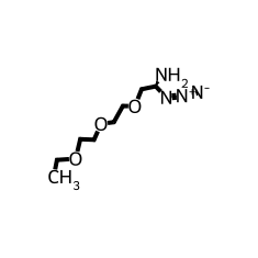 CCOCCOCCOC[C@@H](N)N=[N+]=[N-]